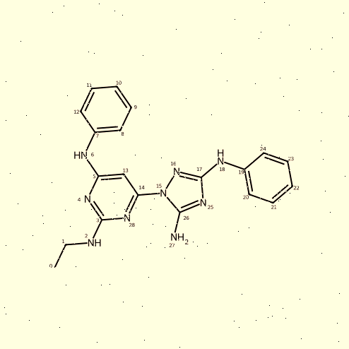 CCNc1nc(Nc2ccccc2)cc(-n2nc(Nc3ccccc3)nc2N)n1